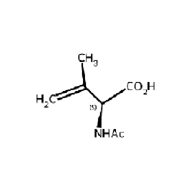 C=C(C)[C@H](NC(C)=O)C(=O)O